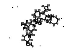 CC1SC2(CCCCCC2)NC1[C@H](c1cccc(-n2cc3c(C(F)(F)F)cc(CN4CCC[C@H](C)C4)cn3c2=O)c1)C1CCC1